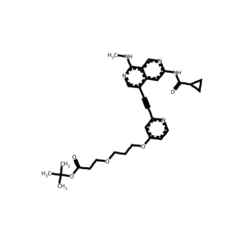 CNc1ncc(C#Cc2cc(OCCCOCCC(=O)OC(C)(C)C)ccn2)c2cc(NC(=O)C3CC3)ncc12